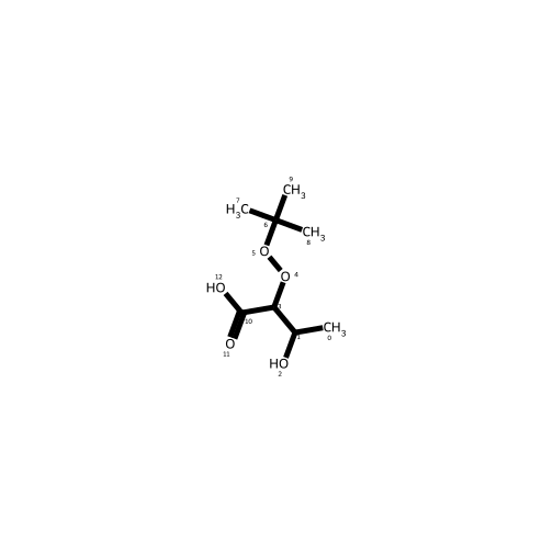 CC(O)C(OOC(C)(C)C)C(=O)O